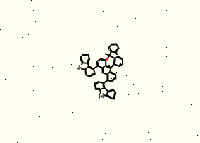 Cn1c2ccccc2c2c(-c3cccc4c(-c5cccc6c5C(C)(C)c5ccccc5-6)c5cccc(-c6cccc7c6c6ccccc6n7C)c5cc34)cccc21